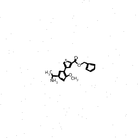 COc1ccc(C(C)N)cc1-c1csc(C(=O)OCc2ccccc2)c1